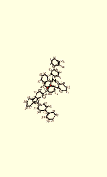 c1ccc(-c2ccc(N(c3ccccc3-c3ccc(-c4ccc5c6ccccc6n(-c6ccc(-c7ccccc7)cc6)c5c4)cc3)c3cccc4ccccc34)cc2)cc1